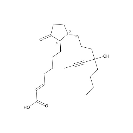 CC#CC(O)(CCCC)CCC[C@H]1CCC(=O)[C@@H]1CCCCC=CC(=O)O